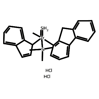 C[Si](C)(C)[Zr]([CH3])(=[SiH2])([c]1cccc2c1Cc1ccccc1-2)[CH]1C=Cc2ccccc21.Cl.Cl